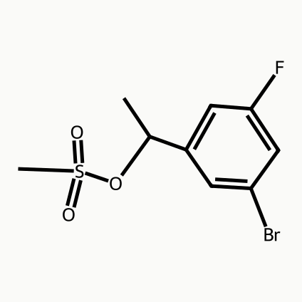 CC(OS(C)(=O)=O)c1cc(F)cc(Br)c1